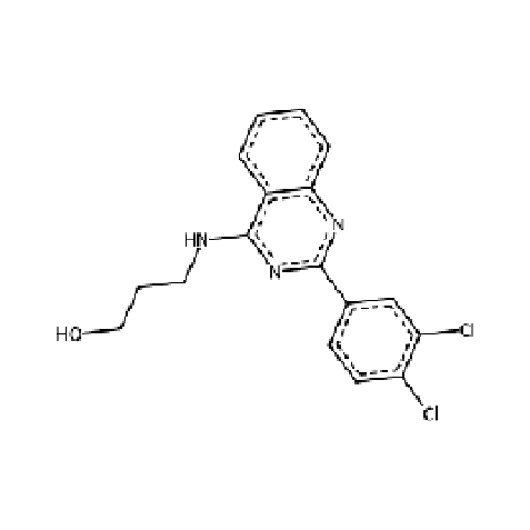 OCCCNc1nc(-c2ccc(Cl)c(Cl)c2)nc2ccccc12